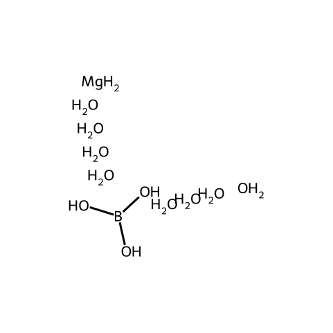 O.O.O.O.O.O.O.O.OB(O)O.[MgH2]